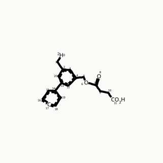 [2H]Cc1cc(COC(=O)CCC(=O)O)cc(-c2ccccc2)c1